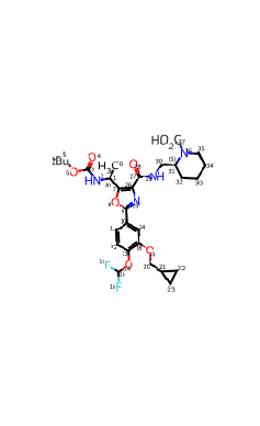 C[C@H](NC(=O)OC(C)(C)C)c1oc(-c2ccc(OC(F)F)c(OCC3CC3)c2)nc1C(=O)NC[C@@H]1CCCCN1C(=O)O